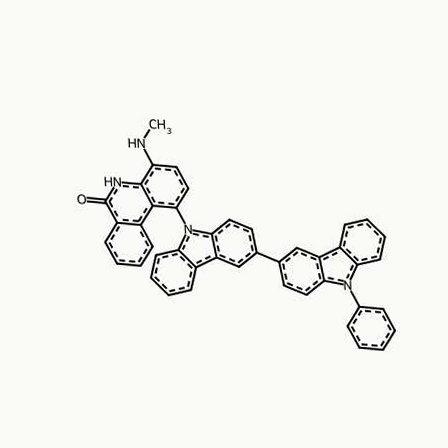 CNc1ccc(-n2c3ccccc3c3cc(-c4ccc5c(c4)c4ccccc4n5-c4ccccc4)ccc32)c2c1[nH]c(=O)c1ccccc12